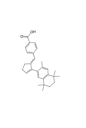 Cc1cc2c(cc1C1=CCC/C1=C\c1ccc(C(=O)O)cc1)C(C)(C)CCC2(C)C